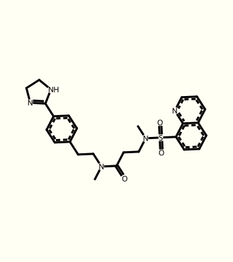 CN(CCc1ccc(C2=NCCN2)cc1)C(=O)CCN(C)S(=O)(=O)c1cccc2cccnc12